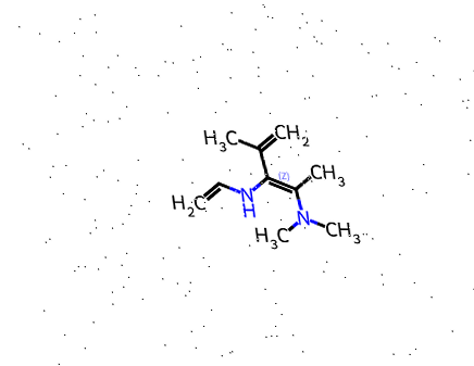 C=CN/C(C(=C)C)=C(/C)N(C)C